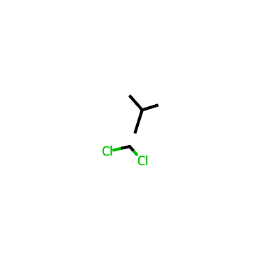 C[C](C)C.ClCCl